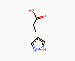 CCC(=O)O.c1cn[nH]c1